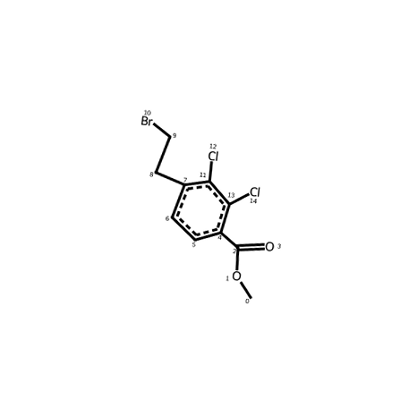 COC(=O)c1ccc(CCBr)c(Cl)c1Cl